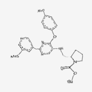 COc1ccc(Oc2nc(-c3cncc(SC)c3)ncc2NC[C@@H]2CCCN2C(=O)OC(C)(C)C)cc1